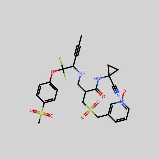 CC#CC(NCC(CS(=O)(=O)Cc1ccc[n+]([O-])c1)C(=O)NC1(C#N)CC1)C(F)(F)Oc1ccc(S(C)(=O)=O)cc1